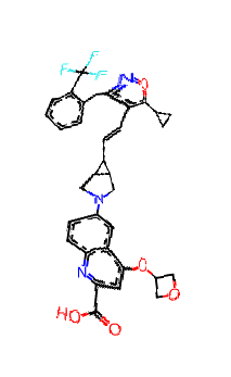 O=C(O)c1cc(OC2COC2)c2cc(N3CC4C(C=Cc5c(-c6ccccc6C(F)(F)F)noc5C5CC5)C4C3)ccc2n1